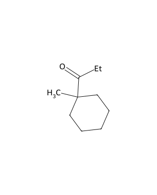 CCC(=O)C1(C)CCCCC1